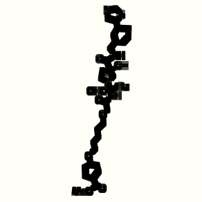 COC(=O)c1ccc(OCCCCCOCC(=O)N[C@](C=O)(N2CC[C@](O)(C(=O)NCc3cccc(-c4cncs4)c3)C2)C(C)(C)C)cc1